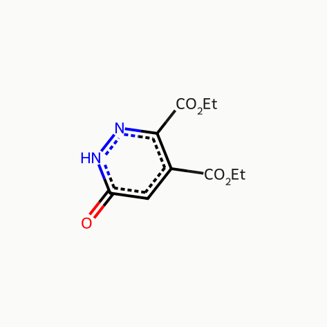 CCOC(=O)c1cc(=O)[nH]nc1C(=O)OCC